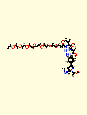 CCOCCOCCOCCOCCOCCOCCOCCC(=O)NC(C(=O)N[C@@H](C)C(=O)Nc1ccc(C2=CN(C(C)=O)[C@H](/C=N\C)C2)cc1)C(C)C